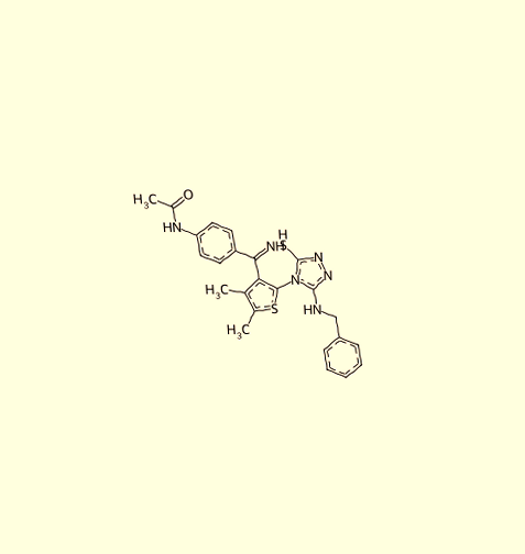 CC(=O)Nc1ccc(C(=N)c2c(-n3c(S)nnc3NCc3ccccc3)sc(C)c2C)cc1